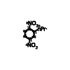 CC[CH]c1cc([N+](=O)[O-])ccc1[N+](=O)[O-]